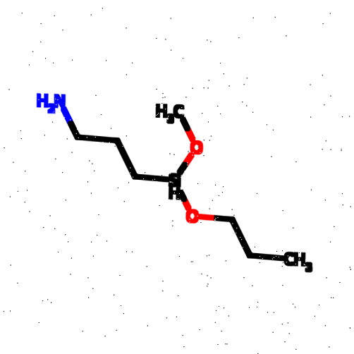 CCCO[SiH](CCCN)OC